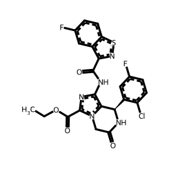 CCOC(=O)c1nc(NC(=O)c2nsc3ccc(F)cc23)c2n1CC(=O)N[C@@H]2c1cc(F)ccc1Cl